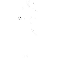 CCN(CC)C(C)C(=O)Oc1ccc(CNC(=O)CCCC/C=C/C(C)C)cc1OC